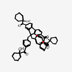 O=C(c1ccc2c(c1)C(Cc1ccc(C(=O)C3(O)CCCCC3)cc1)(Cc1ccc(C(=O)C3(O)CCCCC3)cc1)c1cc(C(=O)C3(O)CCCCC3)ccc1-2)c1ccco1